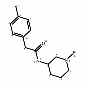 CCN1CCCC(NC(=O)Cc2ccc(C)cc2)C1